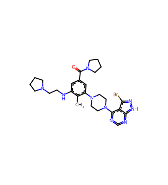 Cc1c(NCCN2CCCC2)cc(C(=O)N2CCCC2)cc1N1CCN(c2ncnc3[nH]nc(Br)c23)CC1